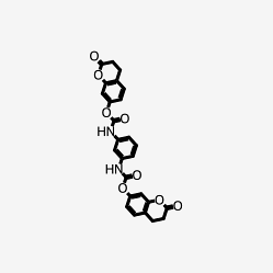 O=C1CCc2ccc(OC(=O)Nc3cccc(NC(=O)Oc4ccc5c(c4)OC(=O)CC5)c3)cc2O1